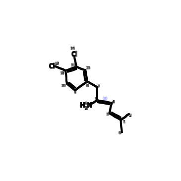 CC(C)=C/C=C(\N)Cc1ccc(Cl)c(Cl)c1